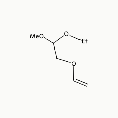 C=COCC(OC)OCC